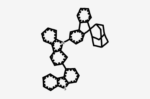 c1ccc2c(c1)-c1cc(-n3c4ccccc4c4ccc(-c5cccc6sc7ccccc7c56)cc43)ccc1C21C2CC3CC(C2)CC1C3